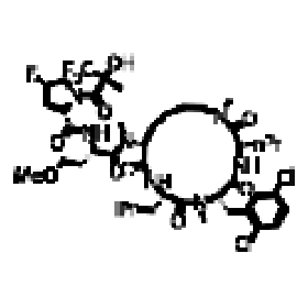 CCC[C@H]1NC(=O)[C@H](Cc2cc(Cl)ccc2Cl)N(C)C(=O)[C@H](CC(C)C)NC(=O)[C@@H](N(C)C(=O)[C@H](CCOC)NC(=O)[C@@H]2C[C@@H](F)CN2C(=O)[C@@](C)(O)C(F)(F)F)CCCCN(C)C1=O